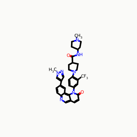 CN1CCC(NC(=O)C2CCN(c3ccc(-n4c(=O)ccc5cnc6ccc(-c7cnn(C)c7)cc6c54)cc3C(F)(F)F)CC2)CC1